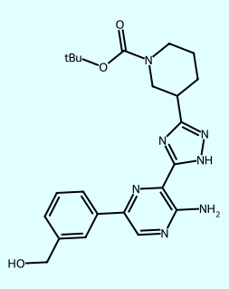 CC(C)(C)OC(=O)N1CCCC(c2n[nH]c(-c3nc(-c4cccc(CO)c4)cnc3N)n2)C1